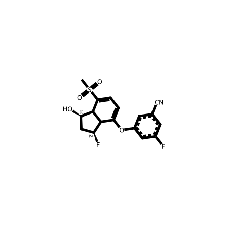 CS(=O)(=O)C1=CC=C(Oc2cc(F)cc(C#N)c2)C2C1[C@H](O)C[C@@H]2F